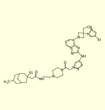 CCc1cnn(C2(CC#N)CN(c3cccn4nc(Nc5cnn(CC(=O)N6CCN(CCNC(=O)CC7(CC)CC8CC(C)CC(C8)C7)CC6)c5)nc34)C2)c1